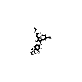 CCOC(=O)Cc1c(C)c(Sc2ccc(S(=O)(=O)CC)c(Cl)c2)c2cc(C#N)ccn12